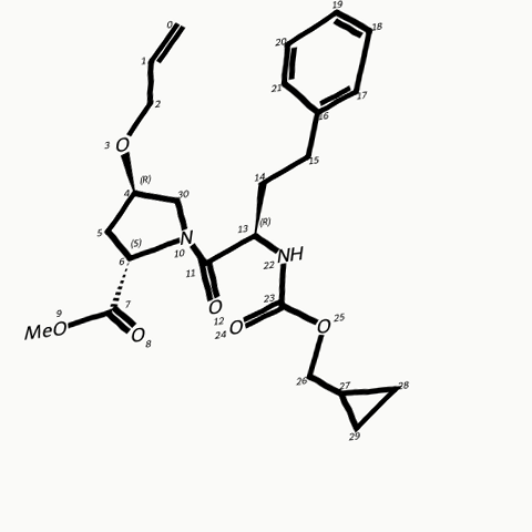 C=CCO[C@@H]1C[C@@H](C(=O)OC)N(C(=O)[C@@H](CCc2ccccc2)NC(=O)OCC2CC2)C1